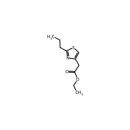 CCCc1nc(CC(=O)OCC)cs1